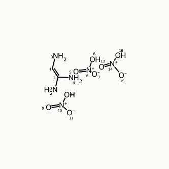 NC=C(N)N.O=[N+]([O-])O.O=[N+]([O-])O.O=[N+]([O-])O